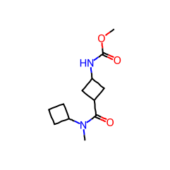 COC(=O)NC1CC(C(=O)N(C)C2CCC2)C1